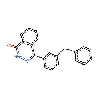 O=c1[nH]nc(-c2cccc(Cc3ccccc3)c2)c2ccccc12